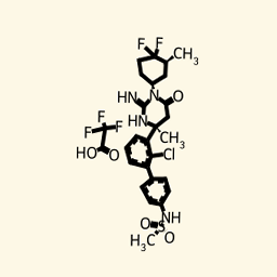 C[C@H]1C[C@@H](N2C(=N)N[C@](C)(c3cccc(-c4ccc(NS(C)(=O)=O)cc4)c3Cl)CC2=O)CCC1(F)F.O=C(O)C(F)(F)F